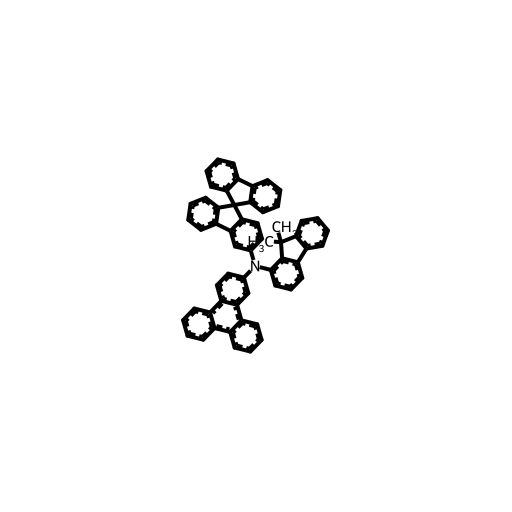 CC1(C)c2ccccc2-c2cccc(N(c3ccc4c(c3)-c3ccccc3C43c4ccccc4-c4ccccc43)c3ccc4c5ccccc5c5ccccc5c4c3)c21